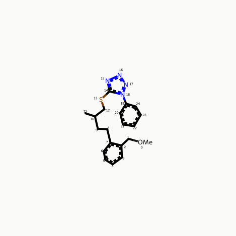 COCc1ccccc1CCC(C)CSc1nnnn1-c1ccccc1